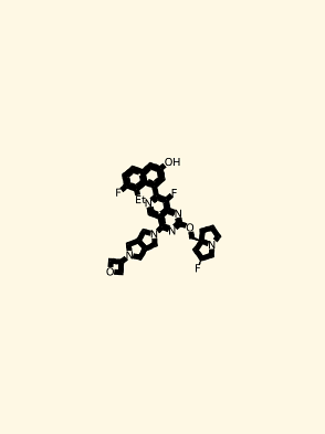 CCc1c(F)ccc2cc(O)cc(-c3ncc4c(N5CC6CN(C7COC7)CC6C5)nc(OC[C@@]56CCCN5C[C@H](F)C6)nc4c3F)c12